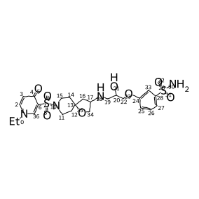 CCn1ccc(=O)c(S(=O)(=O)N2CCC3(CC2)CC(NCC(O)COc2cccc(S(N)(=O)=O)c2)CO3)c1